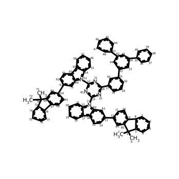 CC1(C)c2ccccc2-c2ccc(-c3ccc4c5ccccc5n(-c5nc(-c6cccc(-c7cc(-c8ccccc8)cc(-c8ccccc8)c7)c6)nc(-n6c7ccccc7c7ccc(-c8ccc9c(c8)C(C)(C)c8ccccc8-9)cc76)n5)c4c3)cc21